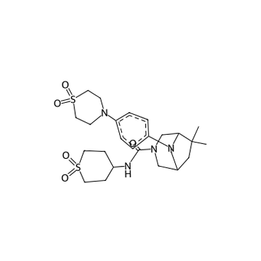 CC1(C)CC2CN(C(=O)NC3CCS(=O)(=O)CC3)CC1N(c1ccc(N3CCS(=O)(=O)CC3)cc1)C2